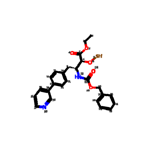 CCOC(=O)[C@@H](OS)[C@@H](Cc1ccc(-c2cccnc2)cc1)NC(=O)OCc1ccccc1